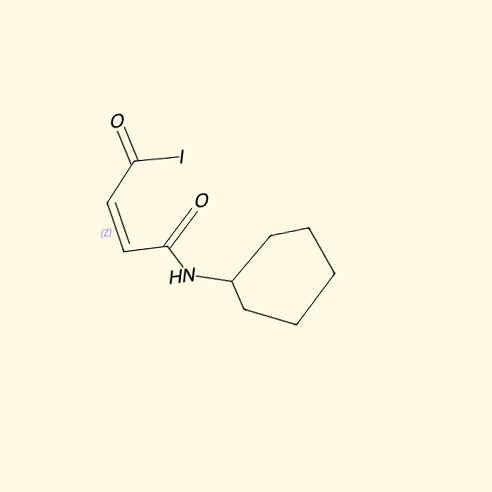 O=C(I)/C=C\C(=O)NC1CCCCC1